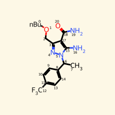 CCCCOCc1nn(C(C)c2ccc(C(F)(F)F)cc2)c(N)c1C(N)=O